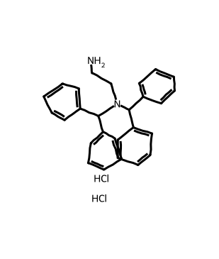 Cl.Cl.NCCN(C(c1ccccc1)c1ccccc1)C(c1ccccc1)c1ccccc1